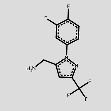 NCc1cc(C(F)(F)F)nn1-c1ccc(F)c(F)c1